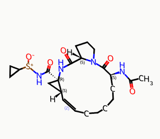 CC(=O)N[C@H]1CCCCC/C=C\[C@@H]2C[C@@]2(C(=O)N[S+]([O-])C2CC2)NC(=O)[C@@H]2CCCN2C1=O